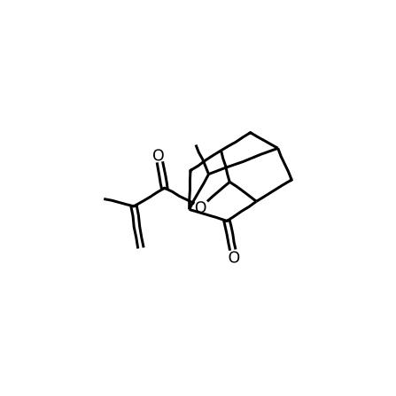 C=C(C)C(=O)OC1C2CC3CC1C(=O)C(C2)C3C